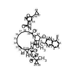 Cc1nc2cccc(F)c2nc1O[C@@H]1C[C@H]2C(=O)N[C@]3(C(=O)NS(=O)(=O)C4(C)CC4)C[C@H]3C=CCCCCC[C@H](NC(=O)c3cc(C4CC4)on3)C(=O)N2C1